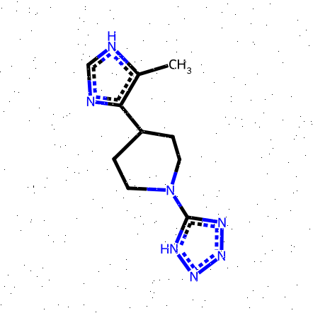 Cc1[nH]cnc1C1CCN(c2nnn[nH]2)CC1